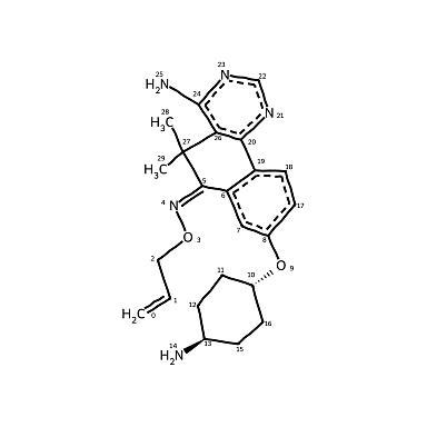 C=CCO/N=C1\c2cc(O[C@H]3CC[C@H](N)CC3)ccc2-c2ncnc(N)c2C1(C)C